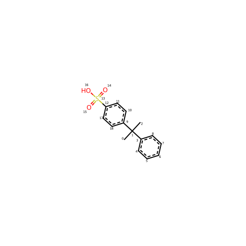 CC(C)(c1ccccc1)c1ccc(S(=O)(=O)O)cc1